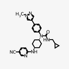 Cn1cc(-c2ccc(N(C(=O)NCC3CC3)[C@H]3CC[C@H](Nc4ccc(C#N)cn4)CC3)cc2)cn1